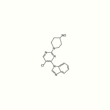 O=NC1CCN(c2ncc(Cl)c(-n3cnc4ccccc43)n2)CC1